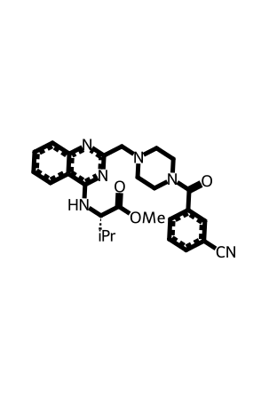 COC(=O)[C@@H](Nc1nc(CN2CCN(C(=O)c3cccc(C#N)c3)CC2)nc2ccccc12)C(C)C